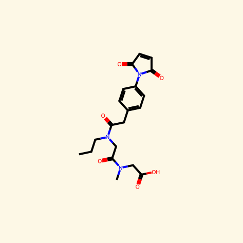 CCCN(CC(=O)N(C)CC(=O)O)C(=O)Cc1ccc(N2C(=O)C=CC2=O)cc1